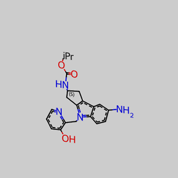 CC(C)OC(=O)N[C@H]1Cc2c(n(Cc3ncccc3O)c3ccc(N)cc23)C1